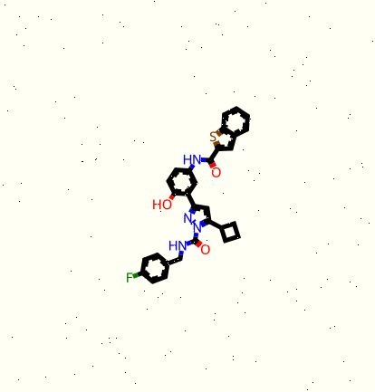 O=C(Nc1ccc(O)c(-c2cc(C3CCC3)n(C(=O)NCc3ccc(F)cc3)n2)c1)c1cc2ccccc2s1